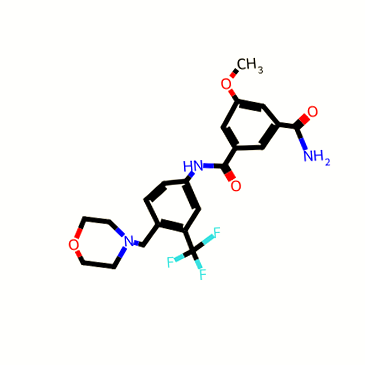 COc1cc(C(N)=O)cc(C(=O)Nc2ccc(CN3CCOCC3)c(C(F)(F)F)c2)c1